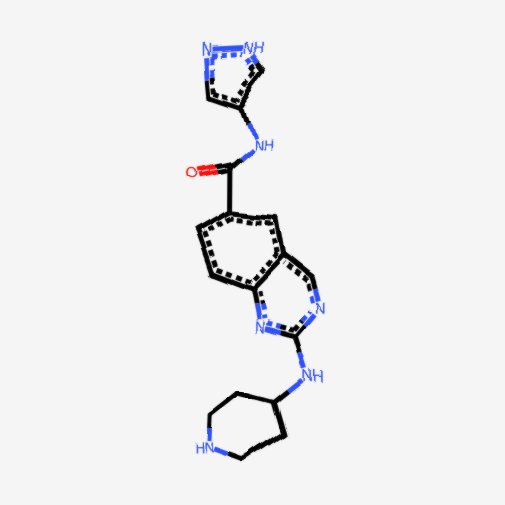 O=C(Nc1cn[nH]c1)c1ccc2nc(NC3CCNCC3)ncc2c1